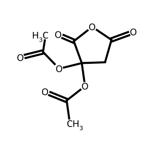 CC(=O)OC1(OC(C)=O)CC(=O)OC1=O